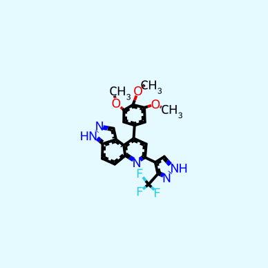 COc1cc(-c2cc(-c3c[nH]nc3C(F)(F)F)nc3ccc4[nH]ncc4c23)cc(OC)c1OC